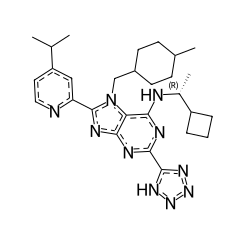 CC1CCC(Cn2c(-c3cc(C(C)C)ccn3)nc3nc(-c4nnn[nH]4)nc(N[C@H](C)C4CCC4)c32)CC1